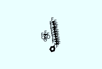 FC(F)(F)C(F)(F)C(F)(F)C(F)(F)C(F)(F)C(F)(F)C(F)(F)C(F)(F)C(F)(F)C(F)(F)[I+]c1ccccc1.O=S(=O)([O-])C(F)(F)F